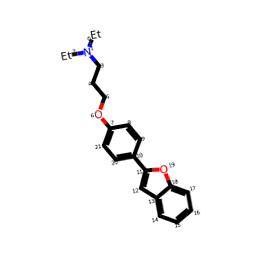 CCN(CC)CCCOc1ccc(-c2cc3ccccc3o2)cc1